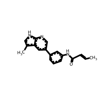 C/C=C/C(=O)Nc1cccc(-c2cnc3[nH]cc(C)c3c2)c1